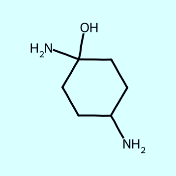 NC1CCC(N)(O)CC1